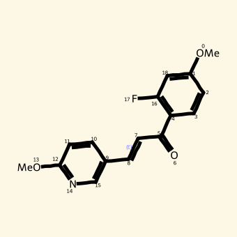 COc1ccc(C(=O)/C=C/c2ccc(OC)nc2)c(F)c1